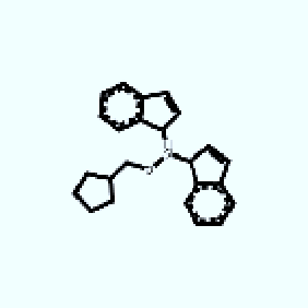 C1=CC([SiH](OCC2CCCC2)C2C=Cc3ccccc32)c2ccccc21